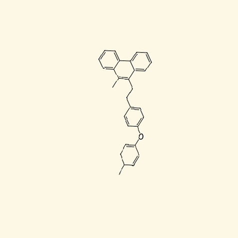 Cc1c(CCc2ccc(OC3=CCC(C)C=C3)cc2)c2ccccc2c2ccccc12